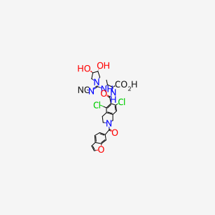 CC(NC(=NC#N)N1C[C@@H](O)[C@H](O)C1)[C@H](NC(=O)c1c(Cl)cc2c(c1Cl)CCN(C(=O)c1ccc3ccoc3c1)C2)C(=O)O